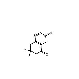 CC1(C)CC(=O)c2cc(Br)cnc2C1